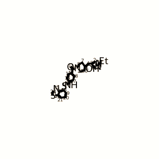 CCn1cc(CC2(O)CCN(C(=O)c3ccc(NSc4cccc5scnc45)cc3)CC2)cn1